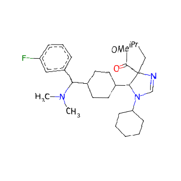 COC(=O)C1(CC(C)C)N=CN(C2CCCCC2)C1C1CCC(C(c2cccc(F)c2)N(C)C)CC1